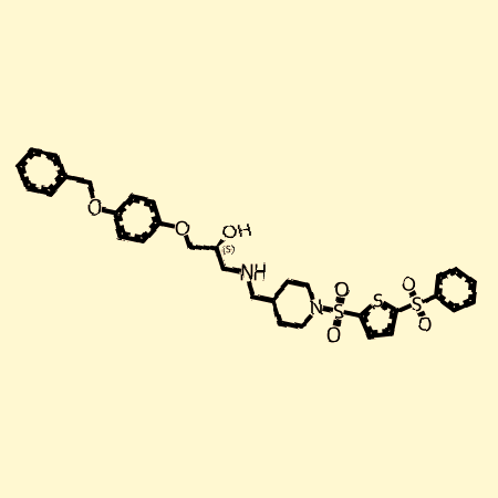 O=S(=O)(c1ccccc1)c1ccc(S(=O)(=O)N2CCC(CNC[C@H](O)COc3ccc(OCc4ccccc4)cc3)CC2)s1